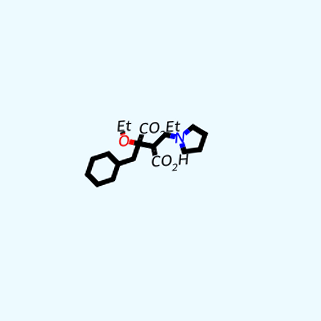 CCOC(=O)C(CC1CCCCC1)(OCC)C(CN1CCCC1)C(=O)O